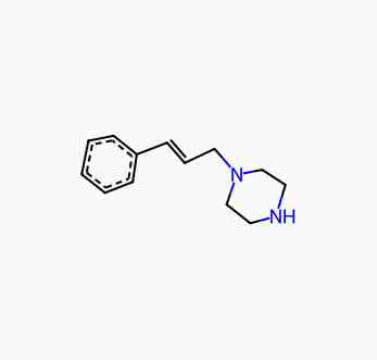 C(=C\c1ccccc1)/CN1CCNCC1